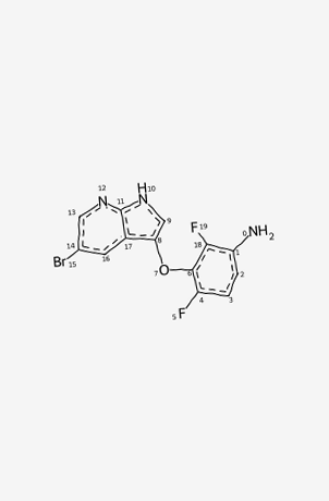 Nc1ccc(F)c(Oc2c[nH]c3ncc(Br)cc23)c1F